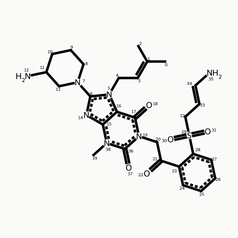 CC(C)=CCn1c(N2CCCC(N)C2)nc2c1c(=O)n(CC(=O)c1ccccc1S(=O)(=O)CC=CN)c(=O)n2C